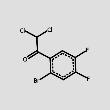 O=C(c1cc(F)c(F)cc1Br)C(Cl)Cl